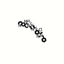 C=C1c2c(ccc(Sc3cnc(N4CCC5(CC4)Cc4ncccc4C5N)cn3)c2Cl)N=CN1Cc1ccccc1